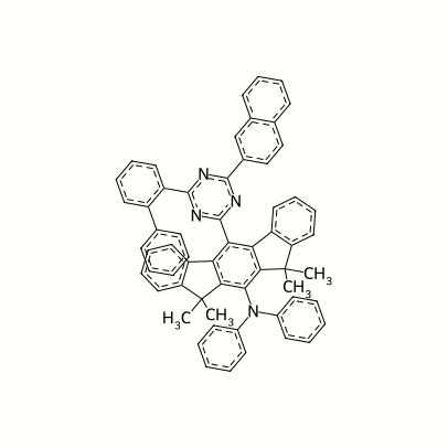 CC1(C)c2ccccc2-c2c(-c3nc(-c4ccc5ccccc5c4)nc(-c4ccccc4-c4ccccc4)n3)c3c(c(N(c4ccccc4)c4ccccc4)c21)C(C)(C)c1ccccc1-3